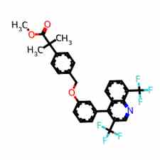 COC(=O)C(C)(C)c1ccc(COc2cccc(-c3c(C(F)(F)F)cnc4c(C(F)(F)F)cccc34)c2)cc1